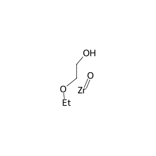 CCOCCO.[O]=[Zr]